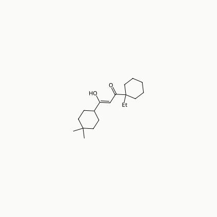 CCC1(C(=O)/C=C(\O)C2CCC(C)(C)CC2)CCCCC1